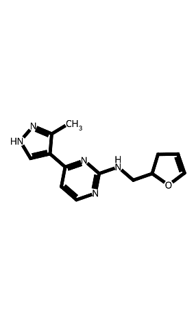 Cc1n[nH]cc1-c1ccnc(NCC2CC=CO2)n1